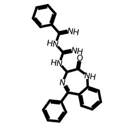 N=C(NC(=N)c1ccccc1)NC1N=C(c2ccccc2)c2ccccc2NC1=O